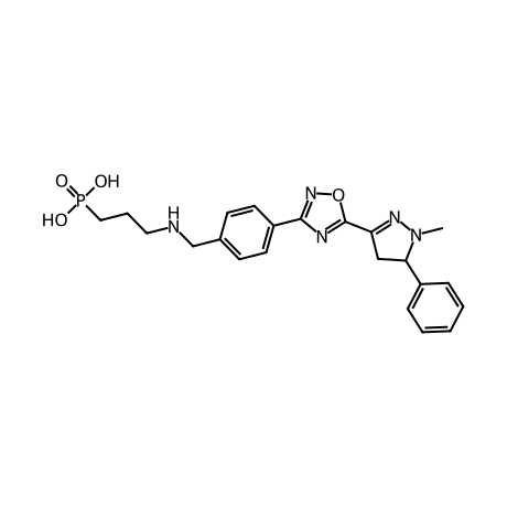 CN1N=C(c2nc(-c3ccc(CNCCCP(=O)(O)O)cc3)no2)CC1c1ccccc1